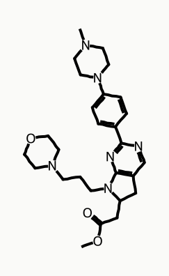 COC(=O)CC1Cc2cnc(-c3ccc(N4CCN(C)CC4)cc3)nc2N1CCCN1CCOCC1